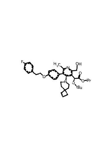 Cc1nc(CO)c(C(OC(C)(C)C)C(=O)OC(C)C)c(N2CCC3(CCC3)CC2)c1-c1ccc(OCCc2ccc(F)cc2)cc1